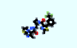 Cc1nc(C(=O)N2CC[C@@H]2CNC(=O)c2c(C)nc3sccn23)c(-c2cccc(C(F)(F)F)c2)s1